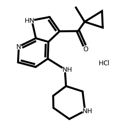 CC1(C(=O)c2c[nH]c3nccc(NC4CCCNC4)c23)CC1.Cl